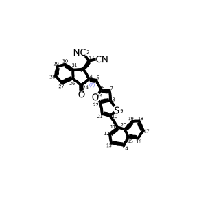 N#CC(C#N)=C1/C(=C/c2cc3sc(-c4cccc5ccccc45)cc3o2)C(=O)c2ccccc21